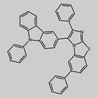 c1ccc(-c2ccc3sc4nc(-c5ccccc5)c(-c5ccc6c(c5)c5ccccc5n6-c5ccccc5)n4c3c2)cc1